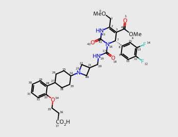 COCC1=C(C(=O)OC)[C@H](c2ccc(F)c(F)c2)N(C(=O)NCC2CN(C3CCC(c4ccccc4OCCC(=O)O)CC3)C2)C(=O)N1